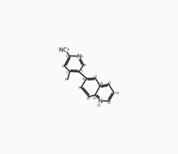 Cc1cc(C#N)ncc1-c1ccc2ncccc2c1